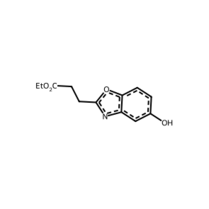 CCOC(=O)CCc1nc2cc(O)ccc2o1